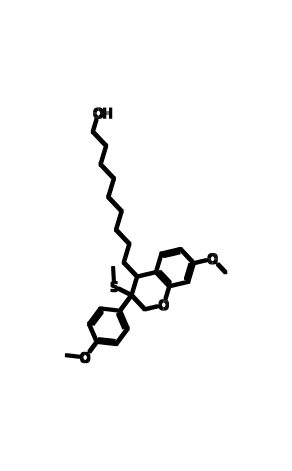 COc1ccc(C2(SC)COc3cc(OC)ccc3C2CCCCCCCCCO)cc1